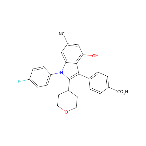 N#Cc1cc(O)c2c(-c3ccc(C(=O)O)cc3)c(C3CCOCC3)n(-c3ccc(F)cc3)c2c1